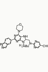 CCCCN(CC1Nc2c(N3CCOCC3)nc(-c3ccc4[nH]ncc4c3)nc2N1C)c1ncc(C=O)cn1